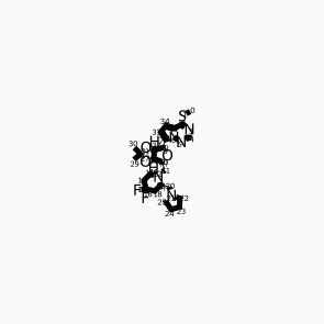 CSc1ncnn2c([C@@H]3O[C@H](CN4CCC(F)(F)C[C@H]4CN4CCCC4)[C@H]4OC(C)(C)O[C@H]43)ccc12